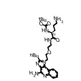 CCCCc1nc2c(N)nc3ccccc3c2n1CCOCCNC(=O)[C@H](CCCN)NC(=O)OC(C)(C)C